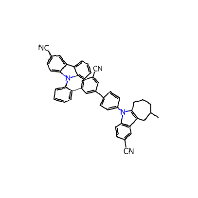 CC1CCCc2c(c3cc(C#N)ccc3n2-c2ccc(-c3cc(C#N)cc(-c4ccccc4-n4c5ccccc5c5cc(C#N)ccc54)c3)cc2)C1